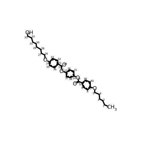 CCCCCCOc1ccc(C(=O)Oc2ccc(OC(=O)c3ccc(OCCCCCCCCO)cc3)cc2)cc1